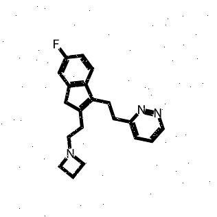 Fc1ccc2c(c1)CC(CCN1CCC1)=C2CCc1cccnn1